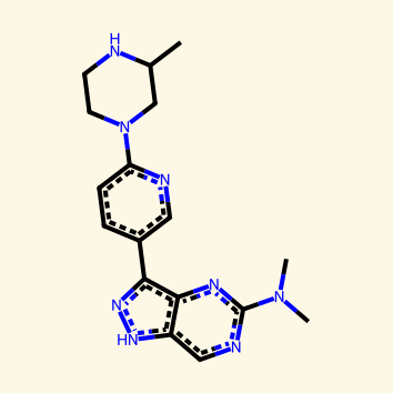 CC1CN(c2ccc(-c3n[nH]c4cnc(N(C)C)nc34)cn2)CCN1